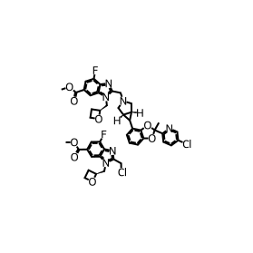 COC(=O)c1cc(F)c2nc(CCl)n(C[C@@H]3CCO3)c2c1.COC(=O)c1cc(F)c2nc(CN3C[C@@H]4C(c5cccc6c5OC(C)(c5ccc(Cl)cn5)O6)[C@@H]4C3)n(C[C@@H]3CCO3)c2c1